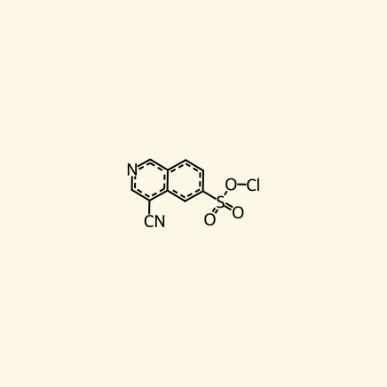 N#Cc1cncc2ccc(S(=O)(=O)OCl)cc12